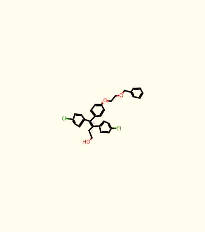 OCC/C(=C(\c1ccc(Cl)cc1)c1ccc(OCCOCc2ccccc2)cc1)c1ccc(Cl)cc1